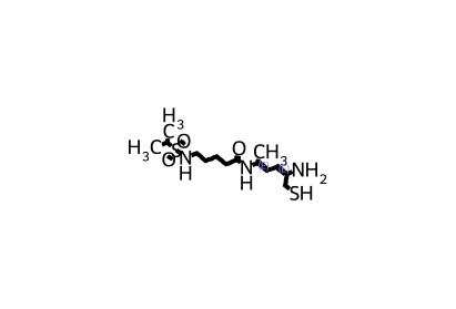 C/C(=C\C=C(\N)CS)NC(=O)CCCCNS(=O)(=O)C(C)C